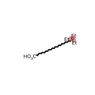 CCO[Si](CCCCCCCCCCCCCCCCCCCCCCC(=O)O)(OCC)OCC